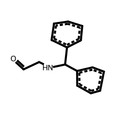 O=CCNC(c1ccccc1)c1ccccc1